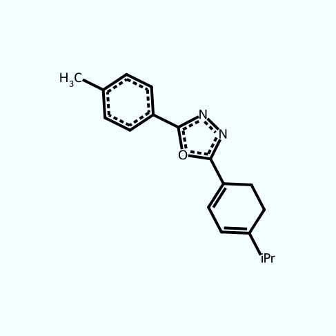 Cc1ccc(-c2nnc(C3=CC=C(C(C)C)CC3)o2)cc1